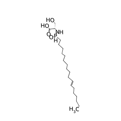 CCCCCC/C=C/CCCCCCCCCC[PH](=O)N[C@@H](CO)C(=O)O